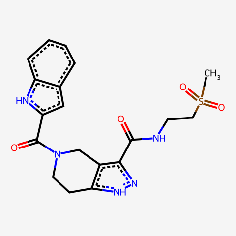 CS(=O)(=O)CCNC(=O)c1n[nH]c2c1CN(C(=O)c1cc3ccccc3[nH]1)CC2